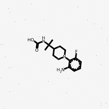 CC(C)(NC(=O)O)C1CCN(c2c(N)cccc2F)CC1